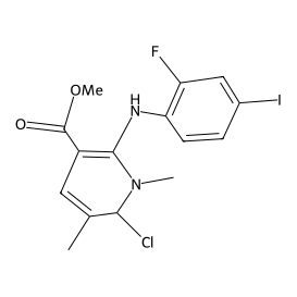 COC(=O)C1=C(Nc2ccc(I)cc2F)N(C)C(Cl)C(C)=C1